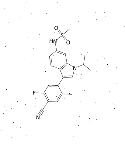 Cc1cc(C#N)c(F)cc1-c1cn(C(C)C)c2cc(NS(C)(=O)=O)ccc12